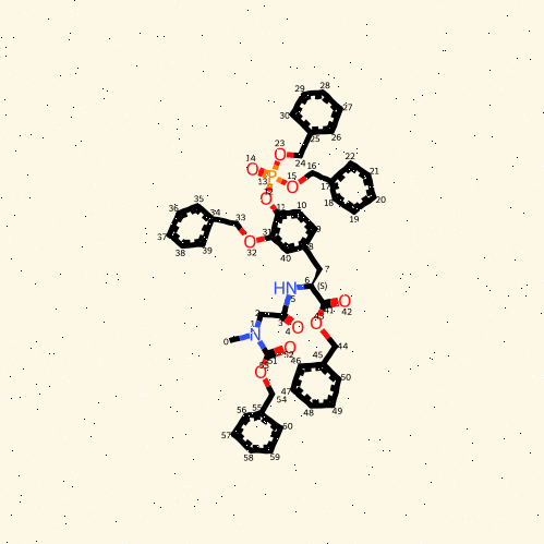 CN(CC(=O)N[C@@H](Cc1ccc(OP(=O)(OCc2ccccc2)OCc2ccccc2)c(OCc2ccccc2)c1)C(=O)OCc1ccccc1)C(=O)OCc1ccccc1